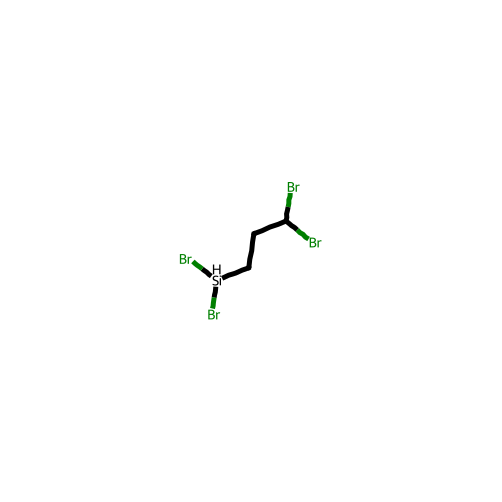 BrC(Br)CC[SiH](Br)Br